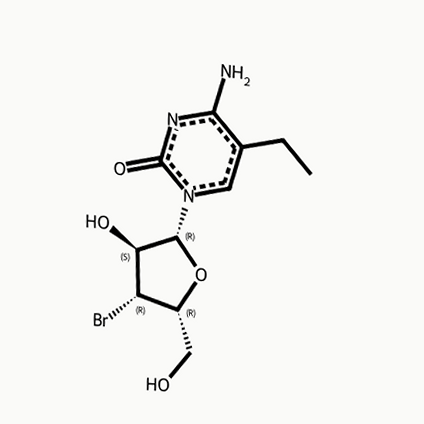 CCc1cn([C@@H]2O[C@H](CO)[C@H](Br)[C@H]2O)c(=O)nc1N